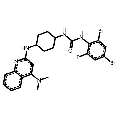 CN(C)c1cc(NC2CCC(NC(=O)Nc3c(F)cc(Br)cc3Br)CC2)nc2ccccc12